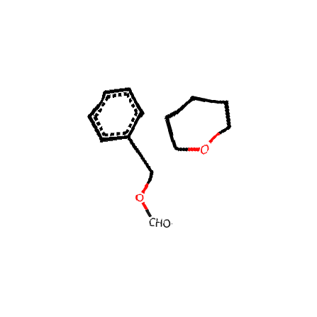 C1CCOCC1.O=[C]OCc1ccccc1